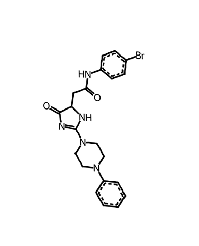 O=C(CC1NC(N2CCN(c3ccccc3)CC2)=NC1=O)Nc1ccc(Br)cc1